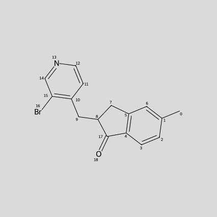 Cc1ccc2c(c1)CC(Cc1ccncc1Br)C2=O